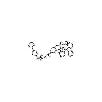 C/C(=N/OCCOc1ccc(CC2OC(=O)N(C(c3ccccc3)(c3ccccc3)c3ccccc3)C2=O)cc1)c1ccc(-c2ccccc2)cc1